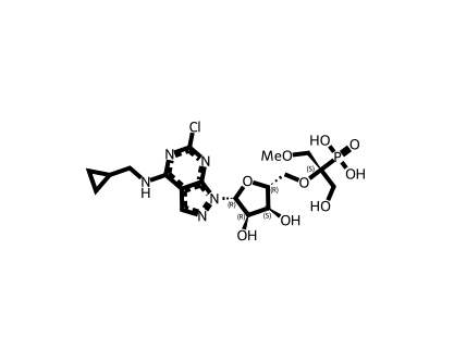 COC[C@@](CO)(OC[C@H]1O[C@@H](n2ncc3c(NCC4CC4)nc(Cl)nc32)[C@H](O)[C@@H]1O)P(=O)(O)O